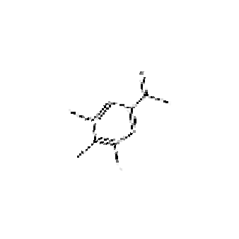 CC(=S)c1cc(C)c(C)c(C)c1